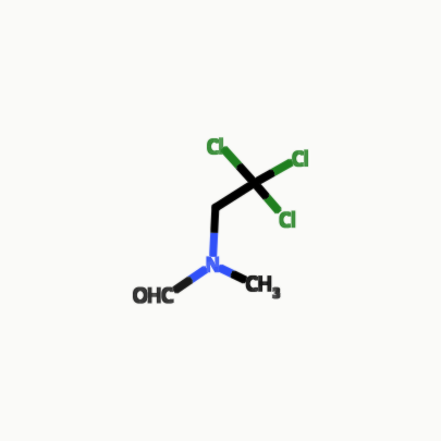 CN(C=O)CC(Cl)(Cl)Cl